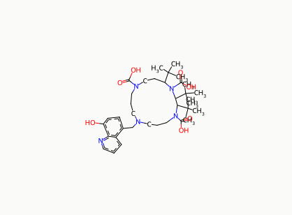 CC(C)(C)C1C(C(C)(C)C)N(C(=O)O)C(C(C)(C)C)CCN(C(=O)O)CCCN(Cc2ccc(O)c3ncccc23)CCCN1C(=O)O